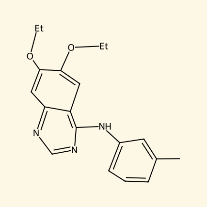 CCOc1cc2ncnc(Nc3cccc(C)c3)c2cc1OCC